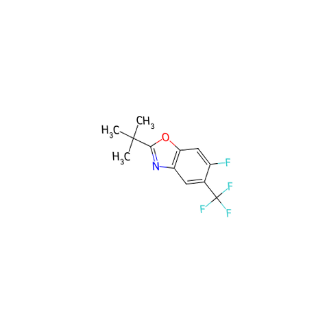 CC(C)(C)c1nc2cc(C(F)(F)F)c(F)cc2o1